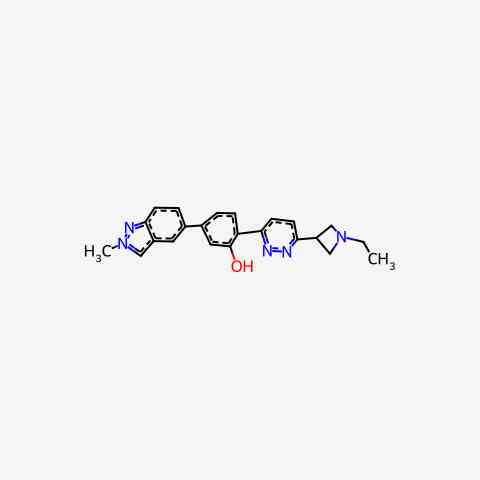 CCN1CC(c2ccc(-c3ccc(-c4ccc5nn(C)cc5c4)cc3O)nn2)C1